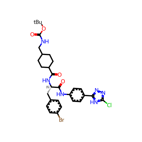 CC(C)(C)OC(=O)NCC1CCC(C(=O)N[C@@H](Cc2ccc(Br)cc2)C(=O)Nc2ccc(-c3nnc(Cl)[nH]3)cc2)CC1